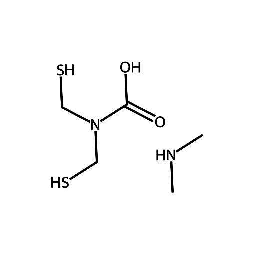 CNC.O=C(O)N(CS)CS